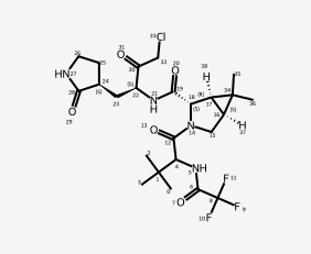 CC(C)(C)C(NC(=O)C(F)(F)F)C(=O)N1C[C@H]2[C@@H]([C@H]1C(=O)N[C@@H](C[C@@H]1CCNC1=O)C(=O)CCl)C2(C)C